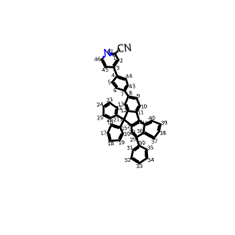 N#Cc1cc(-c2ccc(-c3ccc4c(c3)C(c3ccccc3)(c3ccccc3)c3cc(-c5ccccc5)c5ccccc5c3-4)cc2)ccn1